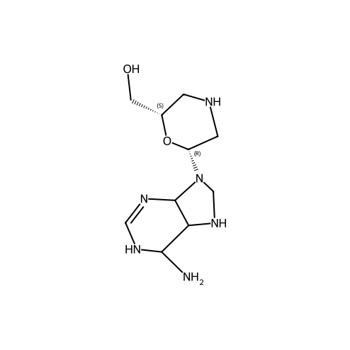 NC1NC=NC2C1NCN2[C@H]1CNC[C@@H](CO)O1